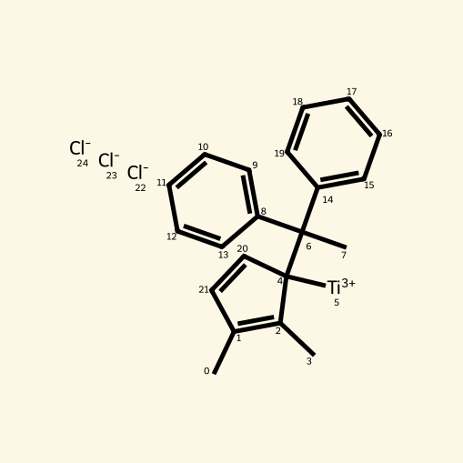 CC1=C(C)[C]([Ti+3])(C(C)(c2ccccc2)c2ccccc2)C=C1.[Cl-].[Cl-].[Cl-]